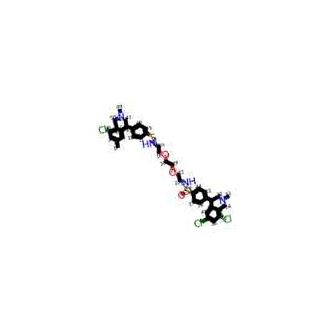 Cc1cc(Cl)c2c(c1)C(c1ccc(SNCCOCCOCCN[S+]([O-])c3ccc(C4CN(C)Cc5c(Cl)cc(Cl)cc54)cc3)cc1)CN(C)C2